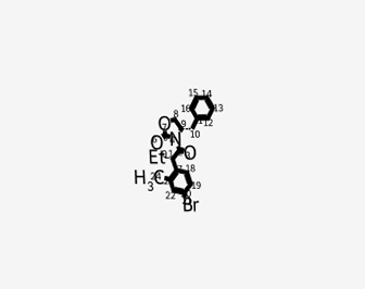 CC[C@H](C(=O)N1C(=O)OC[C@@H]1Cc1ccccc1)c1ccc(Br)cc1C